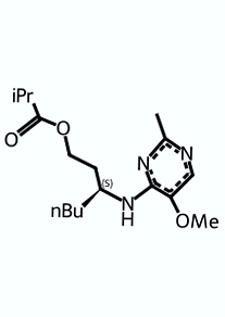 CCCC[C@@H](CCOC(=O)C(C)C)Nc1nc(C)ncc1OC